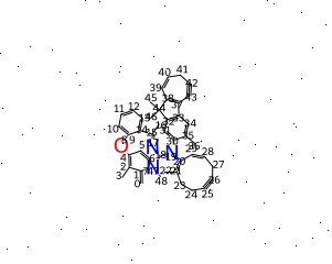 C=C1/C(C)=C(\C=C/C)Oc2ccccc2/C(C)=N/C(N(C2=C(\C)CCC#CC/C=C\2)c2cc3c(cc2C)C2=C(C=CCC#C2)C3(C)C)N1C